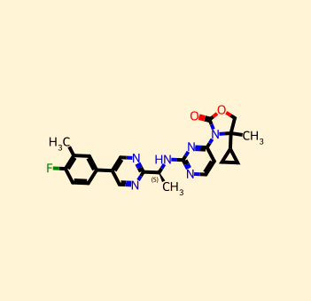 Cc1cc(-c2cnc([C@H](C)Nc3nccc(N4C(=O)OCC4(C)C4CC4)n3)nc2)ccc1F